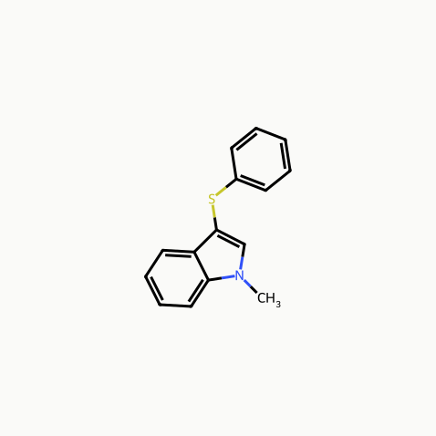 Cn1cc(Sc2ccccc2)c2ccccc21